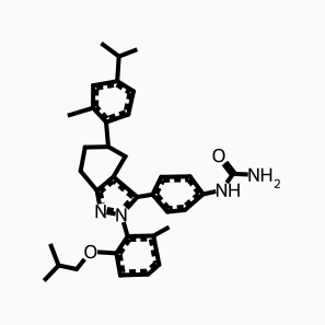 Cc1cc(C(C)C)ccc1C1CCc2nn(-c3c(C)cccc3OCC(C)C)c(-c3ccc(NC(N)=O)cc3)c2C1